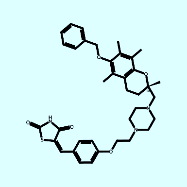 Cc1c(C)c2c(c(C)c1OCc1ccccc1)CC[C@@](C)(CN1CCN(CCOc3ccc(C=C4SC(=O)NC4=O)cc3)CC1)O2